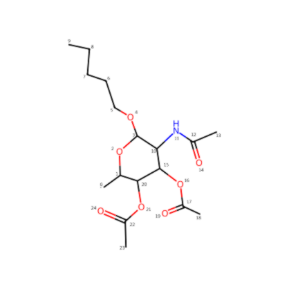 [CH2]C1OC(OCCCCC)C(NC(C)=O)C(OC(C)=O)C1OC(C)=O